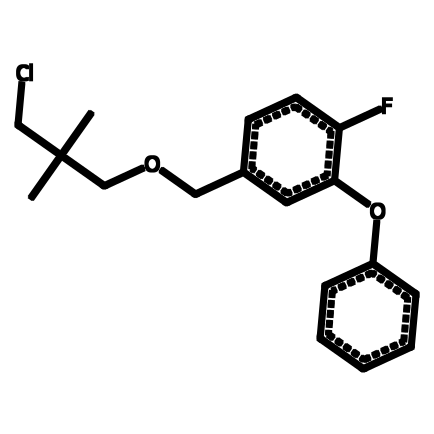 CC(C)(CCl)COCc1ccc(F)c(Oc2ccccc2)c1